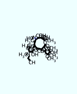 C#CCCN(C)[C@H]1C[C@@H](C)OC(O[C@@H]2[C@@H](C)[C@H](OC3C[C@@](C)(OC)[C@@H](O)[C@H](C)O3)[C@@H](C)C(=O)O[C@H](CC)[C@@](C)(O)C(O)[C@@H](C)/C(=N/O)[C@H](C)C[C@@]2(C)O)[C@@H]1O